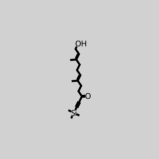 C/C(=C\CO)CC/C=C(\C)CCC(=O)C#C[Si](C)(C)C